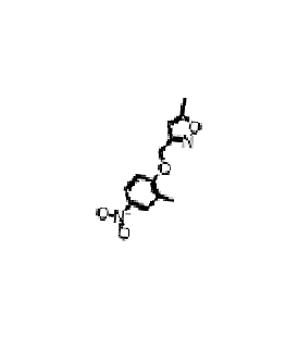 Cc1cc(COc2ccc([N+](=O)[O-])cc2C)no1